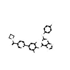 Cc1cc(-c2ccc(C(=O)N3CCC3)cn2)cc(C)c1Oc1nc(Nc2ccc(N)cc2)nc2[nH]cnc12